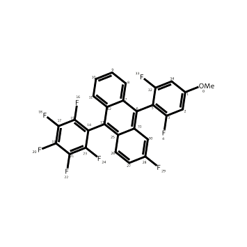 COc1cc(F)c(-c2c3ccccc3c(-c3c(F)c(F)c(F)c(F)c3F)c3ccc(F)cc23)c(F)c1